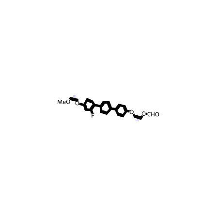 CO/C=C\Oc1ccc(-c2ccc(-c3ccc(O/C=C\OC=O)cc3)cc2)c(F)c1